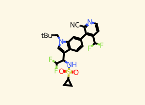 CC(C)(C)Cn1cc(C(NS(=O)(=O)C2CC2)C(F)F)c2ccc(-c3c(C(F)F)ccnc3C#N)cc21